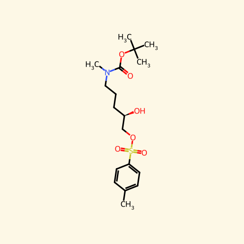 Cc1ccc(S(=O)(=O)OC[C@H](O)CCCN(C)C(=O)OC(C)(C)C)cc1